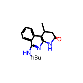 CCCCNc1nc2c(c3ccccc13)C(C)CC(=O)N2